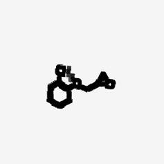 CC1=C(OCC2CO2)CCC=C1